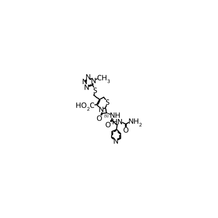 Cn1nnnc1SCC1=C(C(=O)O)N2C(=O)[C@H](NC(=O)C(NC(N)=O)c3ccncc3)C2SC1